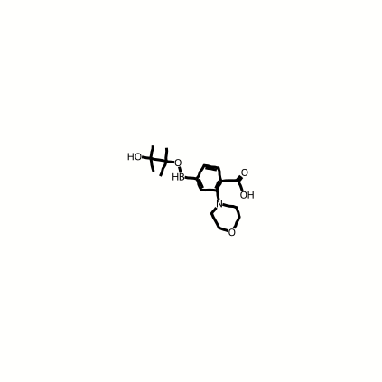 CC(C)(O)C(C)(C)OBc1ccc(C(=O)O)c(N2CCOCC2)c1